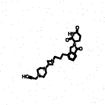 C#CCN1CCN(C2CN(CCCc3cccc4c3CN(C3CCC(=O)NC3=O)C4=O)C2)CC1